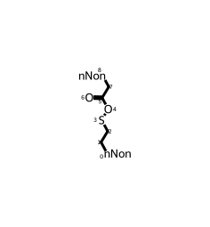 CCCCCCCCCCCSOC(=O)CCCCCCCCCC